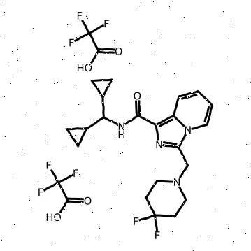 O=C(NC(C1CC1)C1CC1)c1nc(CN2CCC(F)(F)CC2)n2ccccc12.O=C(O)C(F)(F)F.O=C(O)C(F)(F)F